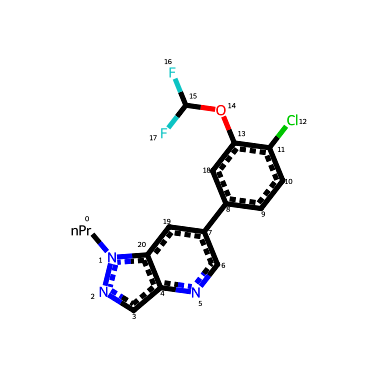 CCCn1ncc2ncc(-c3ccc(Cl)c(OC(F)F)c3)cc21